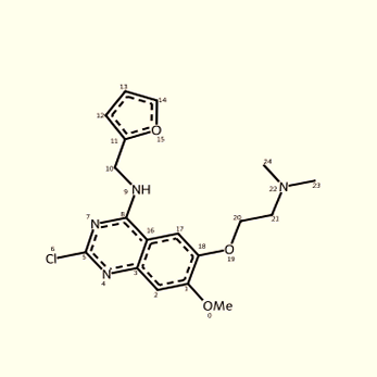 COc1cc2nc(Cl)nc(NCc3ccco3)c2cc1OCCN(C)C